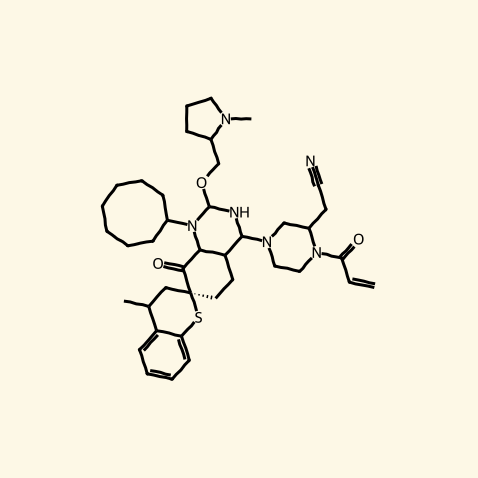 C=CC(=O)N1CCN(C2NC(OCC3CCCN3C)N(C3CCCCCCC3)C3C(=O)[C@]4(CCC23)CC(C)c2ccccc2S4)CC1CC#N